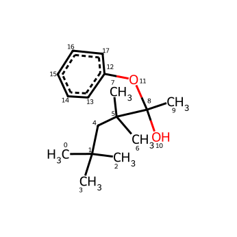 CC(C)(C)CC(C)(C)C(C)(O)Oc1ccccc1